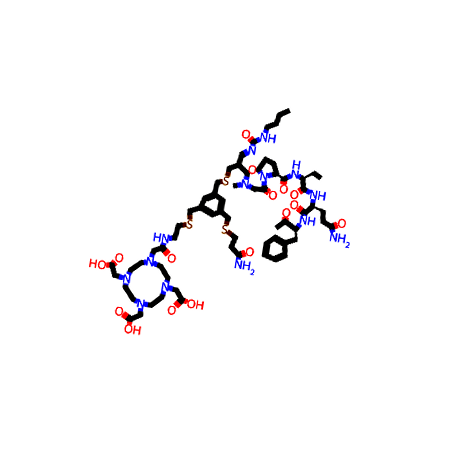 CCCCNC(=O)/N=C/C(CSCc1cc(CSCCNC(=O)CN2CCN(CC(=O)O)CCN(CC(=O)O)CCN(CC(=O)O)CC2)cc(CSCCC(N)=O)c1)C(=O)N(C)CC(=O)N1CCC[C@H]1C(=O)N[C@@H](CC)C(=O)N[C@@H](CCC(N)=O)C(=O)N[C@@H](Cc1ccccc1)C(C)=O